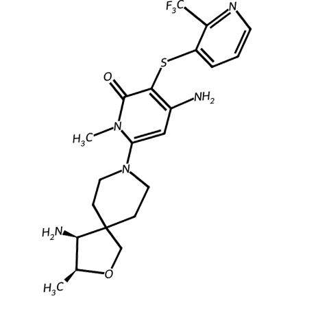 C[C@@H]1OCC2(CCN(c3cc(N)c(Sc4cccnc4C(F)(F)F)c(=O)n3C)CC2)[C@@H]1N